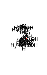 Nc1ccc(CC(NC(=O)CCC(C(=O)O)N2CCN(CC(=O)O)CCN(CC(=O)O)CCN(CC(=O)O)CC2)C(=O)N[C@H](Cc2ccc(O)cc2)C(=O)N[C@H](Cc2ccc3ccccc3c2)C(=O)N[C@H](CCCCNC(=O)CCC(=O)NCCCC(NC(=O)CC[C@H](NC(=O)N[C@@H](CCC(=O)O)C(=O)O)C(=O)O)C(=O)O)C(=O)O)cc1